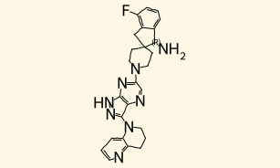 N[C@H]1c2cccc(F)c2CC12CCN(c1cnc3c(N4CCCc5ncccc54)n[nH]c3n1)CC2